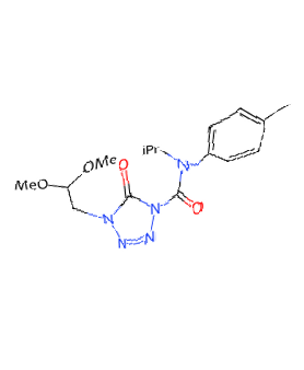 COC(Cn1nnn(C(=O)N(c2ccc(C)cc2)C(C)C)c1=O)OC